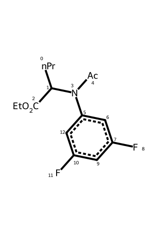 CCCC(C(=O)OCC)N(C(C)=O)c1cc(F)cc(F)c1